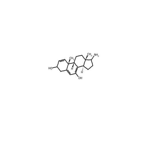 C[C@]12C=CC(O)CC1=CC(O)=C1[C@H]2CC[C@]2(C)C(N)CC[C@@H]12